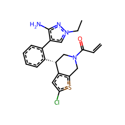 C=CC(=O)N1Cc2sc(Cl)cc2[C@H](c2ccccc2-c2cn(CC)nc2N)C1